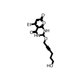 CCc1cc(=O)oc2c1C(=O)NC(OCC#CCCCO)N2